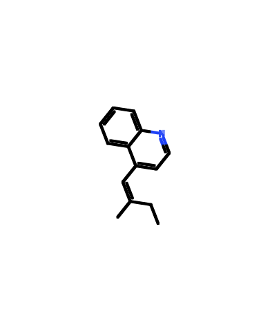 CC/C(C)=C\c1ccnc2ccccc12